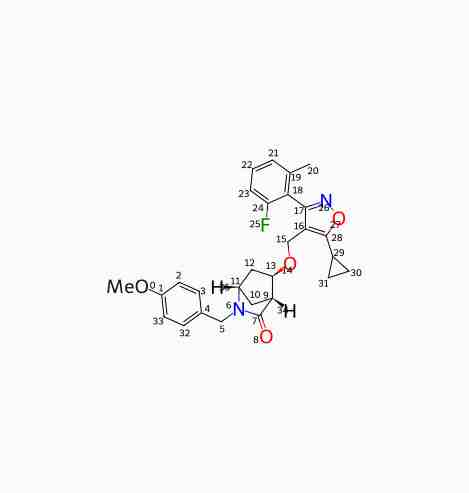 COc1ccc(CN2C(=O)[C@@H]3C[C@H]2C[C@H]3OCc2c(-c3c(C)cccc3F)noc2C2CC2)cc1